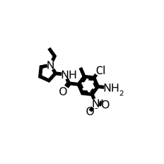 CCN1CCCC1NC(=O)c1cc([N+](=O)[O-])c(N)c(Cl)c1C